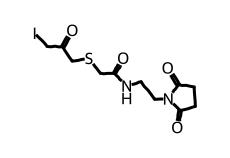 O=C(CI)CSCC(=O)NCCN1C(=O)CCC1=O